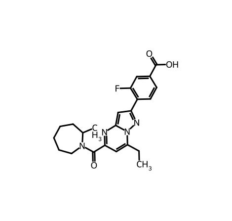 CCc1cc(C(=O)N2CCCCCC2C)nc2cc(-c3ccc(C(=O)O)cc3F)nn12